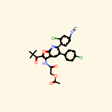 [C-]#[N+]c1ccc(-c2nc3oc(C(=O)C(C)(C)C)c(NC(=O)COC(C)=O)c3cc2-c2ccc(Cl)cc2)c(Cl)c1